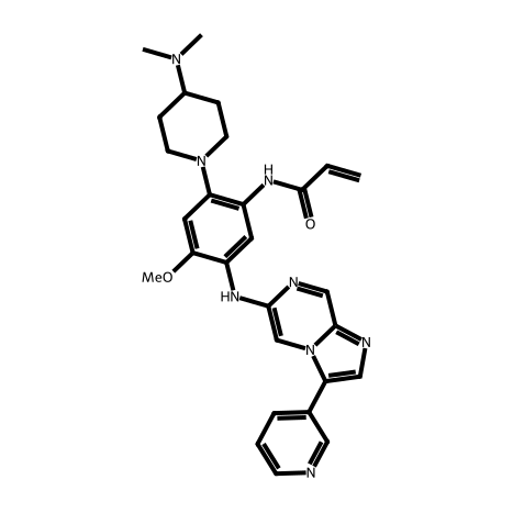 C=CC(=O)Nc1cc(Nc2cn3c(-c4cccnc4)cnc3cn2)c(OC)cc1N1CCC(N(C)C)CC1